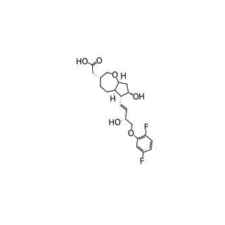 O=C(O)C[C@H]1CC[C@@H]2[C@@H](C=C[C@@H](O)COc3cc(F)ccc3F)[C@H](O)C[C@@H]2OC1